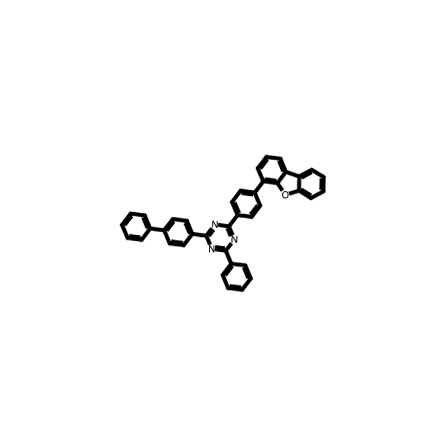 c1ccc(-c2ccc(-c3nc(-c4ccccc4)nc(-c4ccc(-c5cccc6c5oc5ccccc56)cc4)n3)cc2)cc1